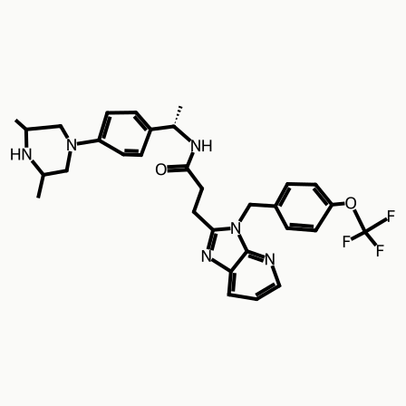 CC1CN(c2ccc([C@H](C)NC(=O)CCc3nc4cccnc4n3Cc3ccc(OC(F)(F)F)cc3)cc2)CC(C)N1